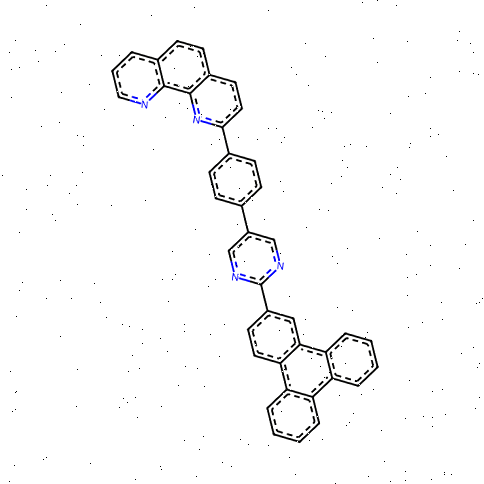 c1cnc2c(c1)ccc1ccc(-c3ccc(-c4cnc(-c5ccc6c7ccccc7c7ccccc7c6c5)nc4)cc3)nc12